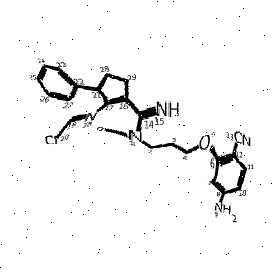 CN(CCCOc1cc(N)ccc1C#N)C(=N)C1=C(/N=C/Cl)C(c2ccccc2)CC1